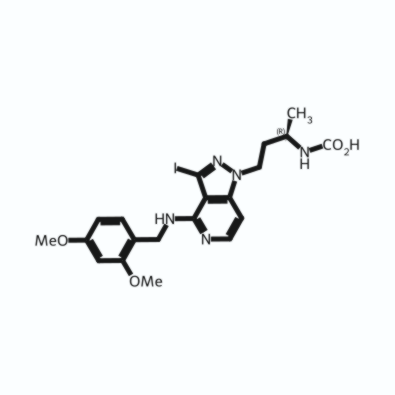 COc1ccc(CNc2nccc3c2c(I)nn3CC[C@@H](C)NC(=O)O)c(OC)c1